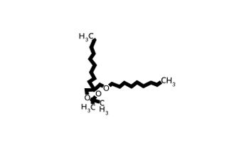 CCCCCCCCCOCC1(CCCCCCCCC)COC(C)(C)O1